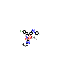 COc1cc2c(cnn2-c2ccc(F)cc2)cc1C1(Cc2ccc(F)cc2)CCN(S(=O)(=O)c2cnn(C)c2)C1